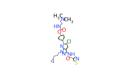 CN(C)CCNC(=O)Oc1ccc(-c2nc3c(cc2Cl)c(NC(=O)c2cnsc2)nn3CCCC2CC2)cc1